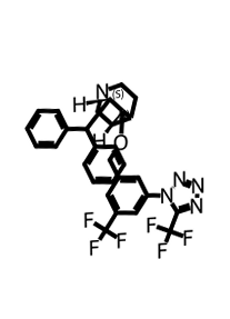 FC(F)(F)c1cc(CO[C@H]2C3CCN(CC3)[C@H]2C(c2ccccc2)c2ccccc2)cc(-n2nnnc2C(F)(F)F)c1